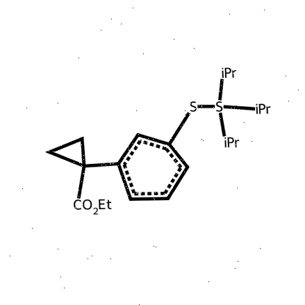 CCOC(=O)C1(c2cccc(SS(C(C)C)(C(C)C)C(C)C)c2)CC1